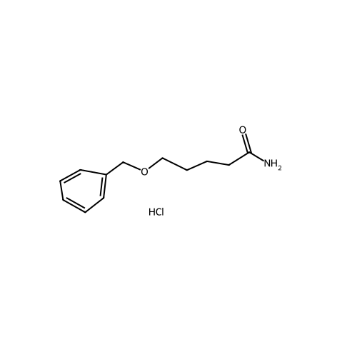 Cl.NC(=O)CCCCOCc1ccccc1